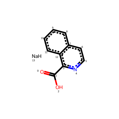 O=C(O)c1nccc2ccccc12.[NaH]